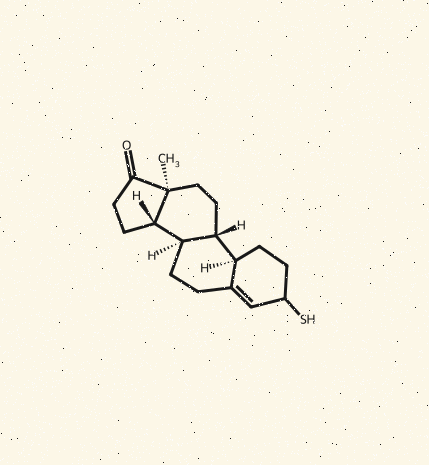 C[C@]12CC[C@H]3[C@@H](CCC4=CC(S)CC[C@@H]43)[C@@H]1CCC2=O